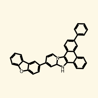 C1=CN2c3c(c4ccccc4c4cc(-c5ccccc5)ccc34)NC2C=C1c1ccc2oc3ccccc3c2c1